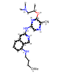 COCCCNc1cccc2cc(Nc3cnc(C#N)c(O[C@H](C)CN(C)C)n3)ncc12